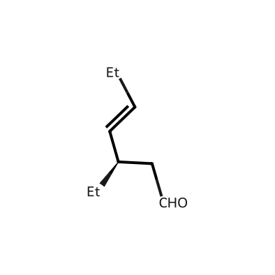 CCC=C[C@H](CC)CC=O